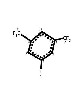 FC(F)(F)c1cc(I)cc(C(F)(F)F)c1